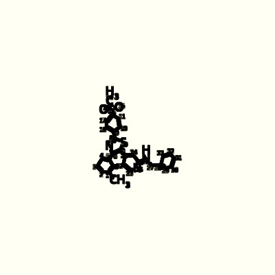 Cc1cccc(-c2nc(-c3ccc(S(C)(=O)=O)cc3)sc2-c2ccnc(NCc3ccccc3)c2)c1